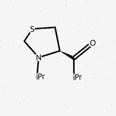 CC(C)C(=O)[C@@H]1CSCN1C(C)C